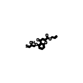 C=CCOC(=O)c1cc(=O)c2c(OCC(O)C=S)cccc2o1